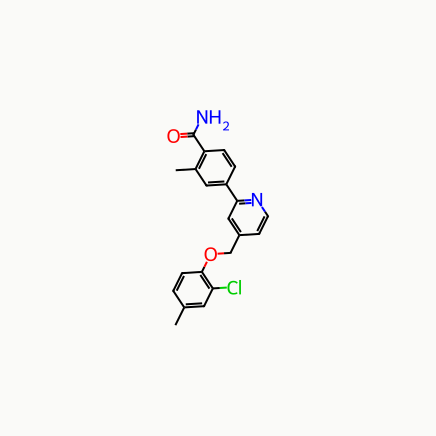 Cc1ccc(OCc2ccnc(-c3ccc(C(N)=O)c(C)c3)c2)c(Cl)c1